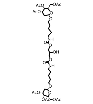 CC(=O)OC[C@H]1O[C@@H](OCCCCCNC(=O)OCC(O)COC(=O)NCCCCCO[C@H]2C[C@@H](OC(C)=O)[C@@H](OC(C)=O)[C@@H](COC(C)=O)O2)C[C@@H](OC(C)=O)[C@H]1OC(C)=O